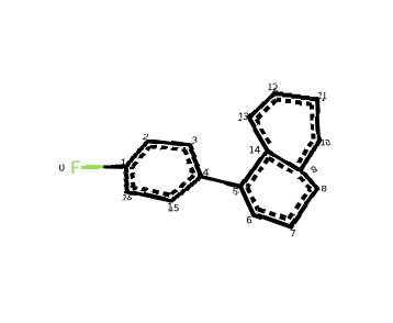 Fc1ccc(-c2cccc3c[c]ccc23)cc1